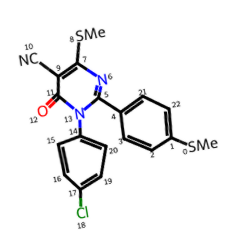 CSc1ccc(-c2nc(SC)c(C#N)c(=O)n2-c2ccc(Cl)cc2)cc1